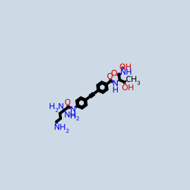 C[C@@H](O)[C@H](NC(=O)c1ccc(C#Cc2ccc(NC(=O)C(N)(N)CCCN)cc2)cc1)C(=O)NO